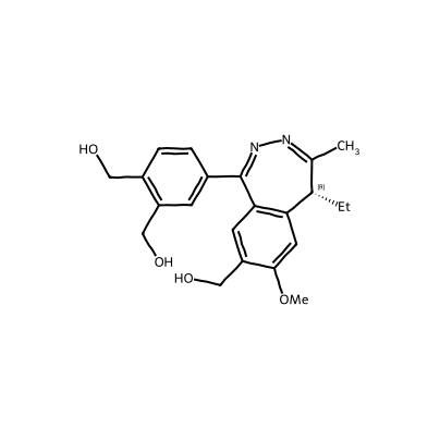 CC[C@H]1C(C)=NN=C(c2ccc(CO)c(CO)c2)c2cc(CO)c(OC)cc21